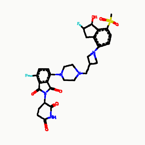 CS(=O)(=O)c1ccc(N2CC(CN3CCN(c4ccc(F)c5c4C(=O)N(C4CCC(=O)NC4=O)C5=O)CC3)C2)c2c1[C@H](O)C(F)C2